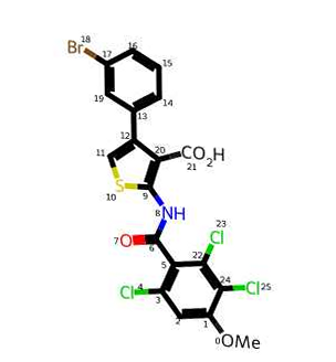 COc1cc(Cl)c(C(=O)Nc2scc(-c3cccc(Br)c3)c2C(=O)O)c(Cl)c1Cl